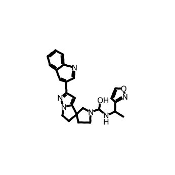 CC(NC(O)N1CCC2(CCn3nc(-c4cnc5ccccc5c4)cc32)C1)c1ccon1